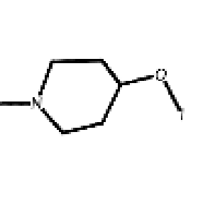 CN1CCC(OI)CC1